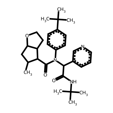 CC1CC2OCCC2C1C(=O)N(c1ccc(C(C)(C)C)cc1)C(C(=O)NC(C)(C)C)c1cccnc1